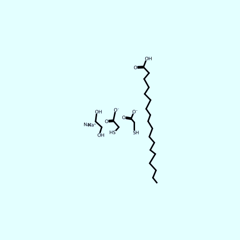 CCCCCCCCCCCCCCCCCC(=O)O.O=C([O-])CS.O=C([O-])CS.OCCO.[Na+].[Na+]